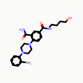 Cc1ccccc1N1CCN(c2ccc(C(=O)NCCCCO)cc2C(N)=O)CC1